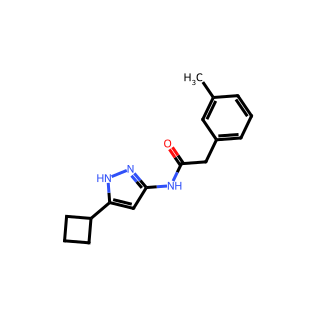 Cc1cccc(CC(=O)Nc2cc(C3CCC3)[nH]n2)c1